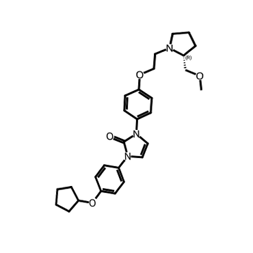 COC[C@H]1CCCN1CCOc1ccc(-n2ccn(-c3ccc(OC4CCCC4)cc3)c2=O)cc1